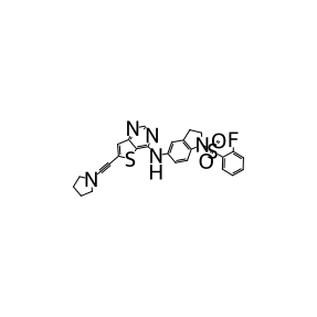 O=S(=O)(c1ccccc1F)N1CCc2cc(Nc3ncnc4cc(C#CN5CCCC5)sc34)ccc21